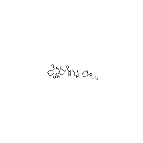 COc1ccc(-c2ncc(CNC(=O)c3ccc4c(c3)NC(=O)c3ccccc3S4(=O)=O)s2)cn1